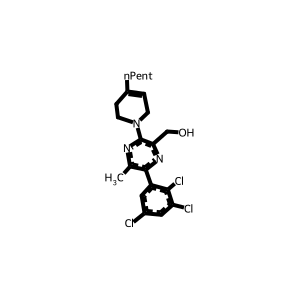 CCCCCC1=CCN(c2nc(C)c(-c3cc(Cl)cc(Cl)c3Cl)nc2CO)CC1